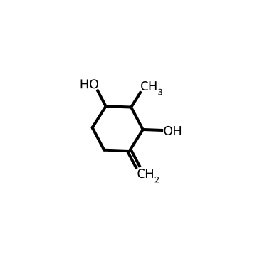 C=C1CCC(O)C(C)C1O